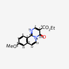 CCOC(=O)c1cnc2c3ccc(OC)cc3ccn2c1=O